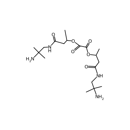 CC(CC(=O)NCC(C)(C)N)OC(=O)C(=O)OC(C)CC(=O)NCC(C)(C)N